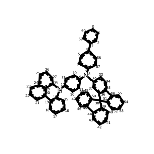 c1ccc(-c2ccc(N(c3ccc(N4c5ccccc5-c5cccc6cccc4c56)cc3)c3ccc4c(c3)C3(c5ccccc5-c5ccccc53)c3ccccc3-4)cc2)cc1